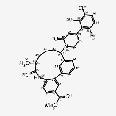 COC(=O)c1ccc2c(c1)-c1cccc(c1)[C@H](N1CCC(c3c(Br)ccc(Cl)c3F)=CC1=O)CCC[C@@H](C)C(=O)N2